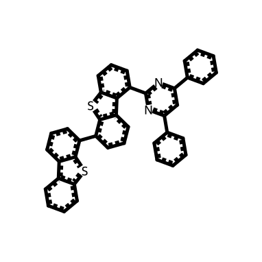 c1ccc(-c2cc(-c3ccccc3)nc(-c3cccc4sc5c(-c6cccc7c6sc6ccccc67)cccc5c34)n2)cc1